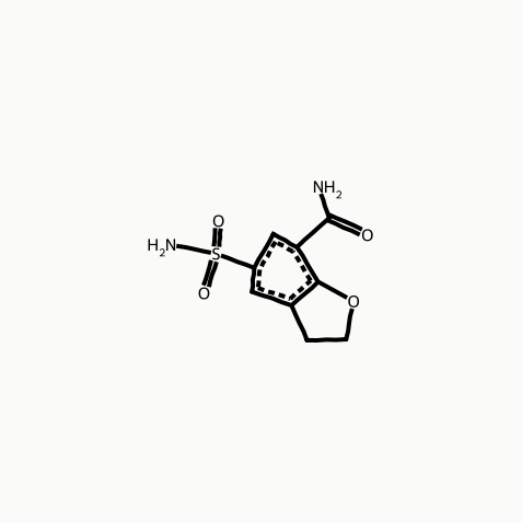 NC(=O)c1cc(S(N)(=O)=O)cc2c1OCC2